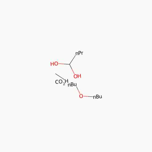 CC(=O)O.CCCC(O)O.CCCCOCCCC